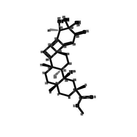 COC(=O)[C@]1(C)CC[C@]2(C)CC[C@]3(C)C4=CC5=C6C(=CC(=O)C(O)(O)[C@]6(C)O)[C@]45CC[C@@]3(C)[C@@H]2C1